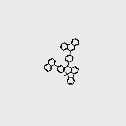 CC1(C)c2ccccc2-c2cccc(N(c3ccc(-c4cc5ccccc5c5ccccc45)cc3)c3cccc(-c4cccc5ccccc45)c3)c21